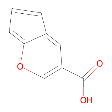 O=C(O)c1coc2cccc-2c1